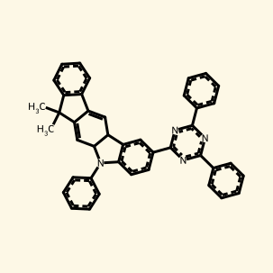 CC1(C)C2=CC3C(C=C2c2ccccc21)c1cc(-c2nc(-c4ccccc4)nc(-c4ccccc4)n2)ccc1N3c1ccccc1